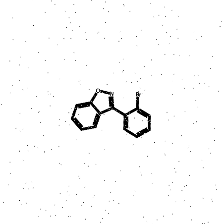 Brc1ccccc1-c1noc2ccccc12